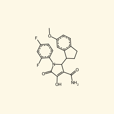 COc1ccc2c(c1)C(C1C(C(N)=O)=C(O)C(=O)N1c1ccc(F)cc1F)CC2